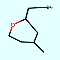 C[C]1CCOC(CC(C)C)C1